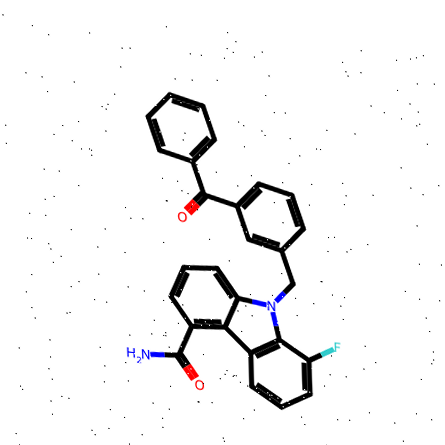 NC(=O)c1cccc2c1c1[c]ccc(F)c1n2Cc1cccc(C(=O)c2ccccc2)c1